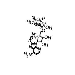 [N-]=[N+]=Nc1nc2c(N)ccnc2n1C1OC(COP(=O)(O)OP(=O)(O)OP(=O)(O)O)C(O)C1O